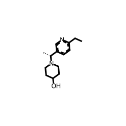 CCc1ccc([C@@H](C)N2CCC(O)CC2)cn1